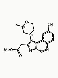 COC(=O)Cc1nc2cnc3ccc(C#N)cc3c2n1[C@@H]1CCO[C@H](C)C1